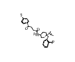 CN(C)C1(Cc2ccccc2F)CCC(NC(=O)CCC(=O)c2ccc(F)cc2)CC1